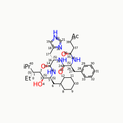 CC[C@@H](C[C@H](O)[C@H](CC1CCCCC1)NC(=O)[C@H](Cc1c[nH]cn1)NC(=O)[C@H](Cc1ccccc1)NC(=O)CCC(C)=O)C(C)C